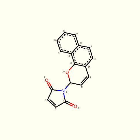 O=C1C=CC(=O)N1C1C=Cc2ccc3ccccc3c2O1